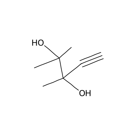 C#CC(C)(O)C(C)(C)O